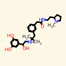 CN1CCCC1CCNC(=O)Cc1cccc(CC(C)(C)NCC(O)c2cc(O)cc(O)c2)c1